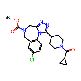 CC[C@@H](C)OC(=O)N1Cc2cc(Cl)ccc2-n2c(nnc2C2CCN(C(=O)C3CC3)CC2)C1